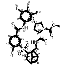 COC(=O)N1C[C@H](O)C[C@H]1C(=O)NCC[C@]1(O)C2=CC1CC(S(=O)(=O)c1cc(C(=O)Nc3cc(F)c(F)c(F)c3)ccc1Cl)C2